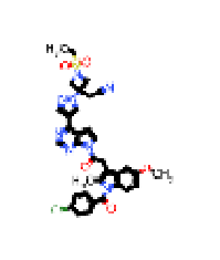 CCS(=O)(=O)N1CC(CC#N)(n2cc(-c3ncnc4c3ccn4C(=O)Cc3c(C)n(C(=O)c4ccc(Cl)cc4)c4ccc(OC)cc34)cn2)C1